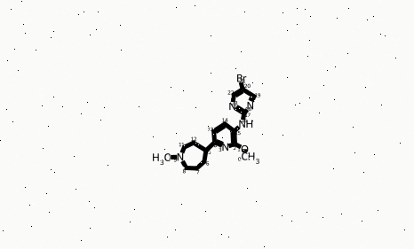 COc1nc(C2CCCN(C)CC2)ccc1Nc1ncc(Br)cn1